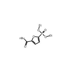 CCCCC(=O)c1ccc(P(=O)(OCC)OCC)o1